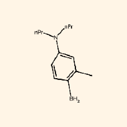 Bc1ccc(N(CCC)CCC)cc1C